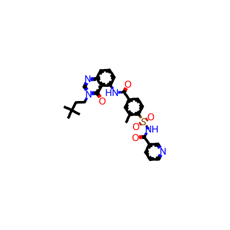 Cc1cc(C(=O)Nc2cccc3ncn(CCC(C)(C)C)c(=O)c23)ccc1S(=O)(=O)NC(=O)c1cccnc1